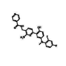 CN(c1ccc(O)c(-c2ccc(CNC(=O)c3ccncc3)c(N)n2)c1)c1ccc(F)cc1F